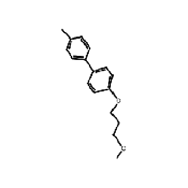 COCCCOc1ccc(-c2ccc(C)cc2)cc1